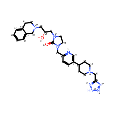 O=C1N(Cc2ccc(C3CCN(Cc4nn[nH]n4)CC3)cn2)CCN1C[C@H](O)CN1CCc2ccccc2C1